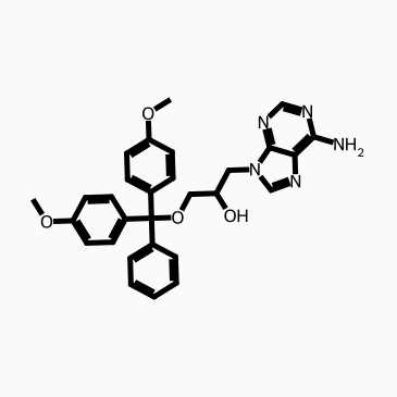 COc1ccc(C(OCC(O)Cn2cnc3c(N)ncnc32)(c2ccccc2)c2ccc(OC)cc2)cc1